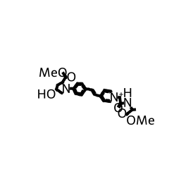 COC(=O)C(C)NC(=O)C[n+]1ccc(/C=C/c2ccc(N3CC(O)CC3C(=O)OC)cc2)cc1